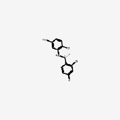 C[C@@H](Nc1cc(O)ccc1Cl)c1ccc(Cl)cc1Cl